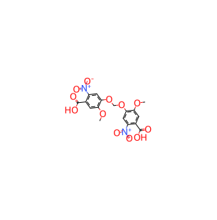 COc1cc(C(=O)O)c([N+](=O)[O-])cc1OCOc1cc([N+](=O)[O-])c(C(=O)O)cc1OC